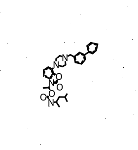 CC(C)CC(C)N(C)C(=O)OC(C)n1c(=O)oc2c(N3CCN(Cc4cccc(-c5ccccc5)c4)CC3)cccc21